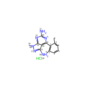 Cc1cccc(C)c1-c1nc(N)nc2c1c(N)nn2C.Cl